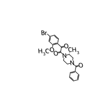 COc1cc(Br)ccc1C(=O)C(=O)N1CCN(C(=O)c2ccccc2)C[C@H]1C